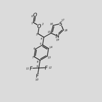 O=COCC(c1ccc(C(F)(F)F)cc1)c1cscn1